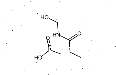 CCC(=O)NCO.C[PH](=O)O